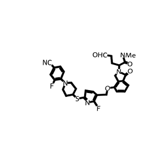 CNC(=O)C(CCC=O)N1Cc2c(OCc3ccc(SC4CCN(c5ccc(C#N)cc5F)CC4)nc3F)cccc2C1=O